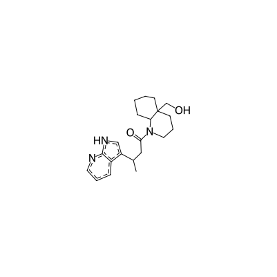 CC(CC(=O)N1CCCC2(CO)CCCCC12)c1c[nH]c2ncccc12